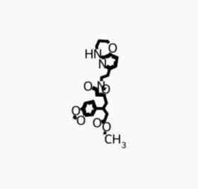 CCOC(=O)CC(Cc1cc(=O)n(CCc2ccc3c(n2)NCCCO3)o1)c1ccc2c(c1)OCO2